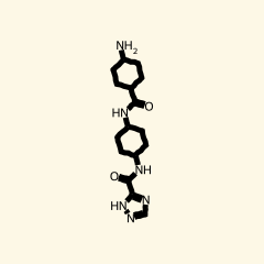 NC1CCC(C(=O)NC2CCC(NC(=O)c3ncn[nH]3)CC2)CC1